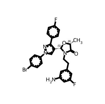 C[C@H]1O[C@@H](c2cn(-c3ccc(Br)cc3)nc2-c2ccc(F)cc2)N(CCc2cc(N)cc(F)c2)C1=O